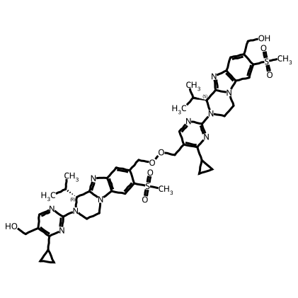 CC(C)[C@H]1c2nc3cc(CO)c(S(C)(=O)=O)cc3n2CCN1c1ncc(COOCc2cc3nc4n(c3cc2S(C)(=O)=O)CCN(c2ncc(CO)c(C3CC3)n2)[C@@H]4C(C)C)c(C2CC2)n1